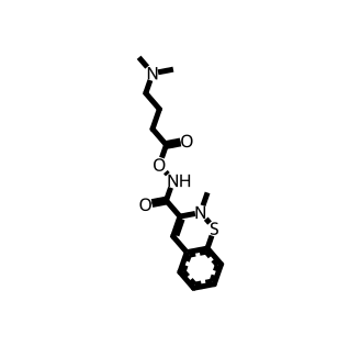 CN(C)CCCC(=O)ONC(=O)C1=Cc2ccccc2SN1C